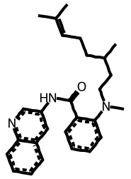 CC(C)=CCCC(C)CCN(C)c1ccccc1C(=O)Nc1cnc2ccccc2c1